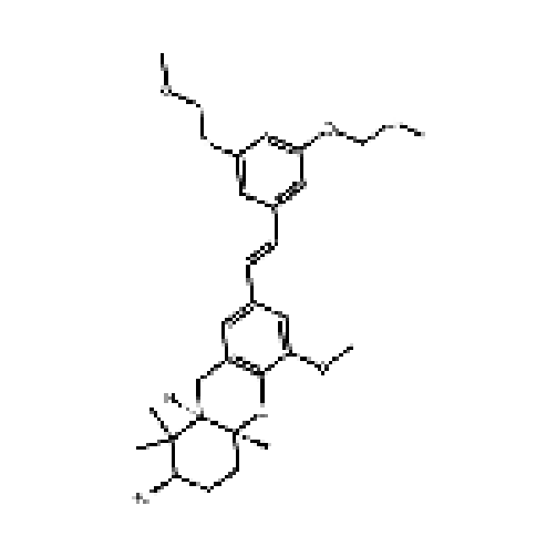 COCOc1cc(/C=C/c2cc3c(c(OC)c2)O[C@]2(C)CC[C@@H](O)C(C)(C)[C@H]2C3)cc(OCOC)c1